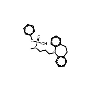 CN(CCCN1c2ccccc2CCc2ccccc21)P(=O)(O)Oc1ccccc1